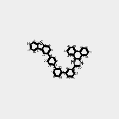 c1cc(-c2ccc(-c3ccc4sc5ccccc5c4c3)cc2)cc(-c2cccc(-c3cnc4c5ccccc5c5ccccc5c4n3)c2)c1